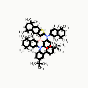 Cc1cc2c3c(c1)N(c1ccc4c(c1)C(C)(C)CCC4(C)C)c1sc4cc5c(cc4c1B3c1cc3c(cc1N2c1ccc(C(C)(C)C)cc1-c1ccc([Si](C)(C)C)cc1)C(C)(C)CCC3(C)C)C(C)(C)CCC5(C)C